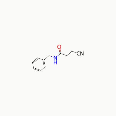 N#CCCC(=O)NCc1ccccc1